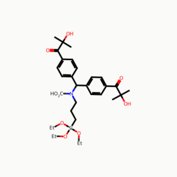 CCO[Si](CCCN(C(=O)O)C(c1ccc(C(=O)C(C)(C)O)cc1)c1ccc(C(=O)C(C)(C)O)cc1)(OCC)OCC